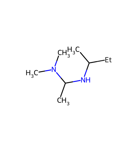 CCC(C)NC(C)N(C)C